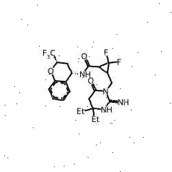 CCC1(CC)CC(=O)N(CC2C(C(=O)N[C@H]3C[C@H](C(F)(F)F)Oc4ccccc43)C2(F)F)C(=N)N1